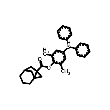 Cc1cc([SH](c2ccccc2)c2ccccc2)cc(C)c1OC(=O)C12CC3CCCC1(C3)C2